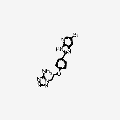 Nc1nnnn1CCOc1ccc(-c2nc3cc(Br)cnc3[nH]2)cc1